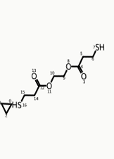 C1CC1.O=C(CCS)OCCOC(=O)CCS